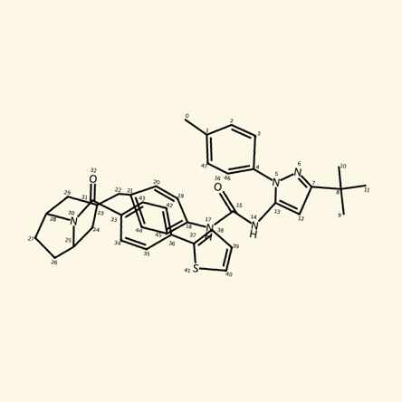 Cc1ccc(-n2nc(C(C)(C)C)cc2NC(=O)Nc2ccc(CC3CC4CCC(C3)N4C(=O)c3ccc(-c4cccs4)cc3)cc2)cc1